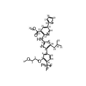 COCCOc1cc(-c2nc(Nc3ncc(-c4cccs4)cc3C(=O)OC)sc2CC(C)C)ccc1C(F)(F)F